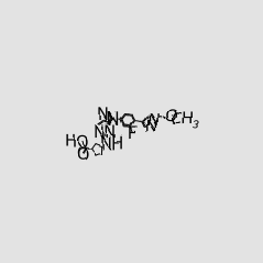 COCCn1cc(-c2ccc(-n3cnc4cnc(N[C@@H]5CC[C@@H](C(=O)O)C5)nc43)cc2F)cn1